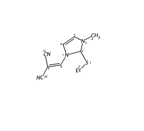 CCSC1N(C)C=CN1C=C(C#N)C#N